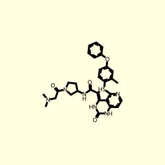 Cc1cc(Oc2ccccc2)ccc1[SH]1C(C(=O)NC2CCN(C(=O)CN(C)C)C2)=C2NC(=O)Nc3ccnc1c32